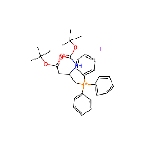 CC(C)(C)OC(=O)CC(C[P+](c1ccccc1)(c1ccccc1)c1ccccc1)NC(=O)OC(C)(C)C.[I-]